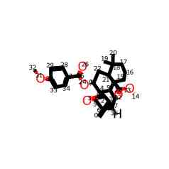 C=C1C(=O)[C@]23CC[C@H]1CC2C1(C(=O)OC)CCCC(C)(C)C1C[C@H]3OC(=O)c1ccc(OC)cc1